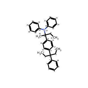 CCC(CC)(c1ccccc1)c1ccc(C(C)(CC)N(c2ccccc2)c2ccccc2)cc1